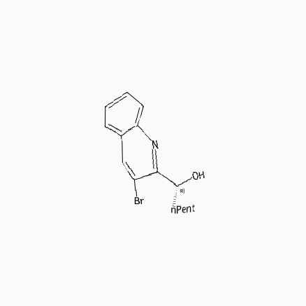 CCCCC[C@@H](O)c1nc2ccccc2cc1Br